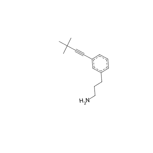 CC(C)(C)C#Cc1cccc(CCCN)c1